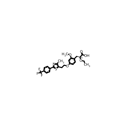 CCO[C@@H](Cc1ccc(OCCc2sc(-c3ccc(C(F)(F)F)cc3)nc2C)cc1OC)C(=O)O